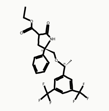 CCOC(=O)C1C[C@@](CO[C@H](C)c2cc(C(F)(F)F)cc(C(F)(F)F)c2)(c2ccccc2)NC1=O